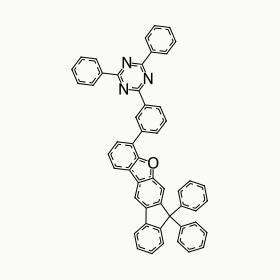 c1ccc(-c2nc(-c3ccccc3)nc(-c3cccc(-c4cccc5c4oc4cc6c(cc45)-c4ccccc4C6(c4ccccc4)c4ccccc4)c3)n2)cc1